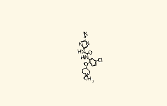 CN1CCC(Oc2ccc(Cl)cc2NC(=O)Nc2cnc(C#N)cn2)CC1